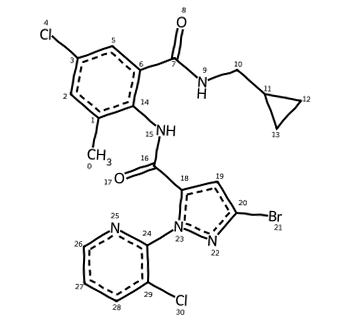 Cc1cc(Cl)cc(C(=O)NCC2CC2)c1NC(=O)c1cc(Br)nn1-c1ncccc1Cl